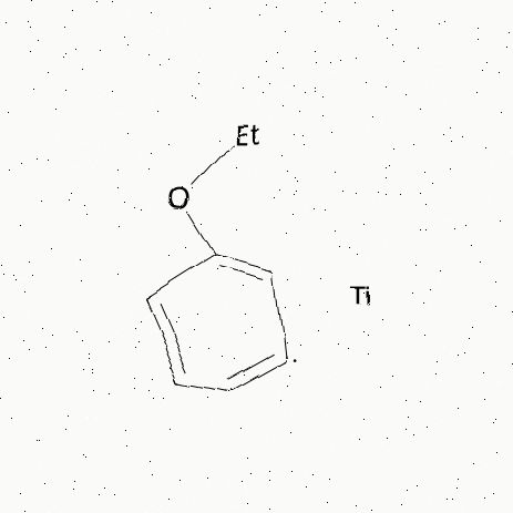 CCOc1c[c]ccc1.[Ti]